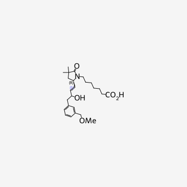 COCc1cccc(CC(O)/C=C/[C@H]2CC(C)(C)C(=O)N2CCCCCCC(=O)O)c1